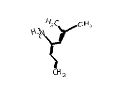 C=C/C=C(/N)C=C(C)C